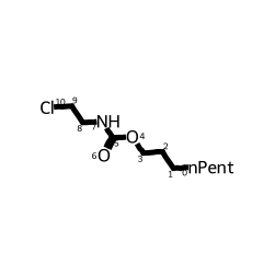 CCCCCCCCOC(=O)NCCCl